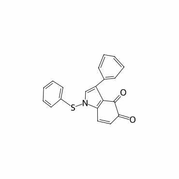 O=C1C=Cc2c(c(-c3ccccc3)cn2Sc2ccccc2)C1=O